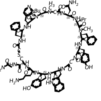 CCCC[C@H]1C(=O)N(C)CC(=O)N[C@@H](CC(N)=O)C(=O)N[C@@H](C(C)C)C(=O)N(C)[C@@H](Cc2ccccc2)C(=O)N[C@@H](Cc2ccc(O)cc2)C(=O)N(C)CC(=O)N[C@@H](Cc2c[nH]c3ccccc23)C(=O)N[C@@H](Cc2ccc(O)cc2)C(=O)N[C@@H](CCCN)C(=O)N[C@H](C(=O)NCC(N)=O)CSCC(=O)N[C@@H](Cc2ccccc2)C(=O)N[C@@H](Cc2ccncc2)C(=O)N1C